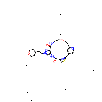 O=C1Nc2cn(CCC3CCOCC3)nc2C(=O)NCCOCCc2cc(ccn2)-c2nc1cs2